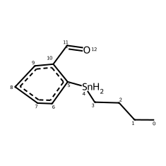 CCC[CH2][SnH2][c]1ccccc1[C]=O